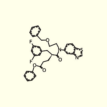 O=C(CC[C@@H](Cc1cc(F)cc(F)c1)C(=O)N(CCOCc1ccccc1)c1ccc2scnc2c1)Oc1ccccc1